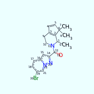 CC1C2=C(C=CC2(C)C)CCN1C(=O)c1cc2ccc(Br)cn2n1